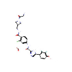 COc1ccc(-c2cnc(C(=O)Nc3ccc(C(=O)NCC4CN(C(=O)CN)C4)c(Cl)c3)n2C)c(F)c1F.O=CO